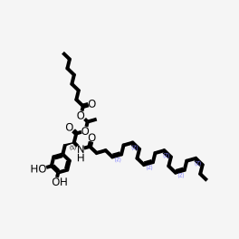 CC/C=C\C/C=C\C/C=C\C/C=C\C/C=C\C/C=C\CCC(=O)N[C@@H](Cc1ccc(O)c(O)c1)C(=O)OC(C)OC(=O)CCCCCCC